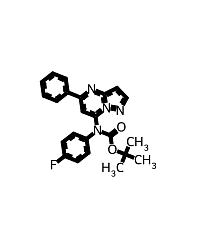 CC(C)(C)OC(=O)N(c1ccc(F)cc1)c1cc(-c2ccccc2)nc2ccnn12